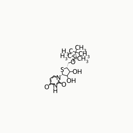 CC(C)(C)[Si](C)(C)OC[C@H]1S[C@@H](n2ccc(=O)[nH]c2=O)C(O)C1O